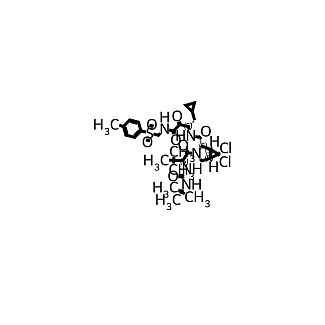 Cc1ccc(S(=O)(=O)CNC(=O)C(=O)[C@H](CC2CC2)NC(=O)[C@@H]2[C@@H]3[C@H](CN2C(=O)[C@@H](NC(=O)NC(C)(C)C)C(C)(C)C)C3(Cl)Cl)cc1